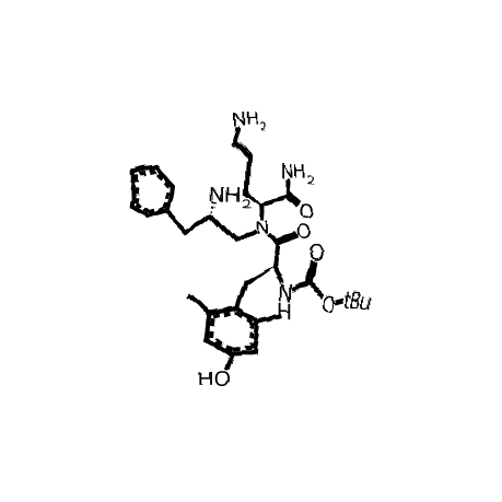 Cc1cc(O)cc(C)c1C[C@H](NC(=O)OC(C)(C)C)C(=O)N(C[C@@H](N)Cc1ccccc1)[C@@H](CCCN)C(N)=O